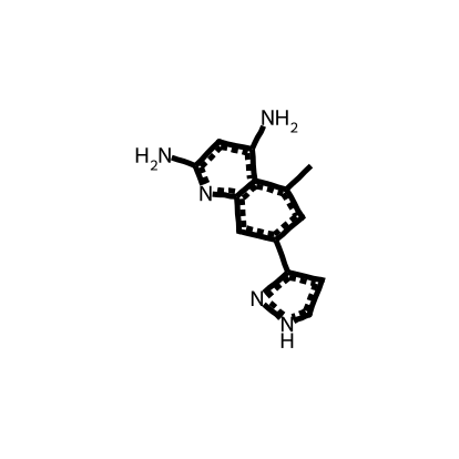 Cc1cc(-c2cc[nH]n2)cc2nc(N)cc(N)c12